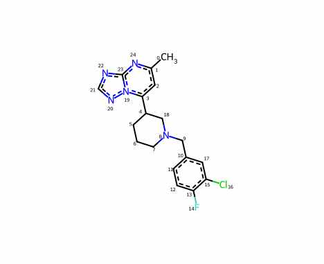 Cc1cc(C2CCCN(Cc3ccc(F)c(Cl)c3)C2)n2ncnc2n1